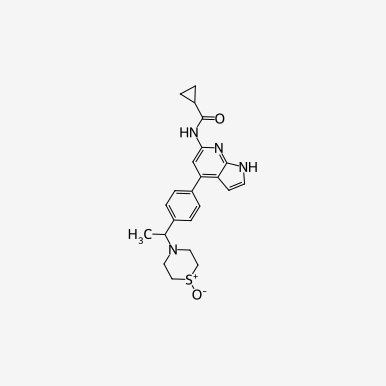 CC(c1ccc(-c2cc(NC(=O)C3CC3)nc3[nH]ccc23)cc1)N1CC[S+]([O-])CC1